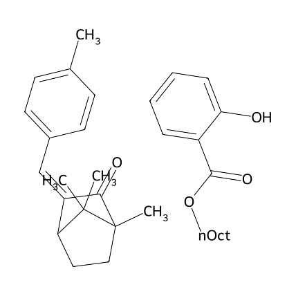 CCCCCCCCOC(=O)c1ccccc1O.Cc1ccc(/C=C2\C(=O)C3(C)CCC2C3(C)C)cc1